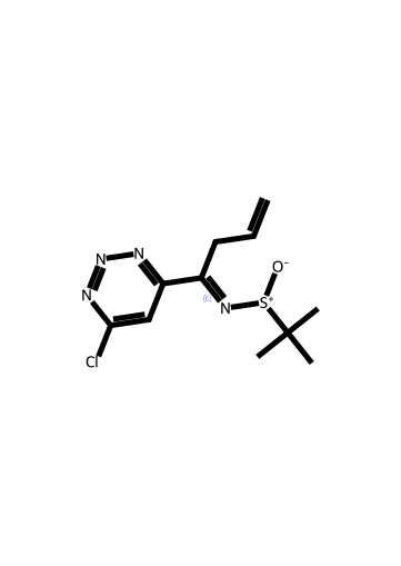 C=CC/C(=N\[S+]([O-])C(C)(C)C)c1cc(Cl)nnn1